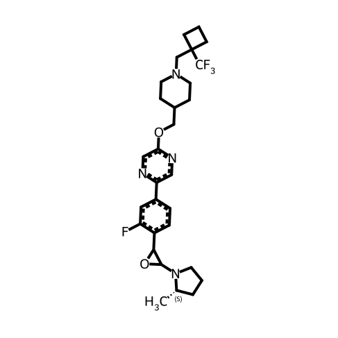 C[C@H]1CCCN1C1OC1c1ccc(-c2cnc(OCC3CCN(CC4(C(F)(F)F)CCC4)CC3)cn2)cc1F